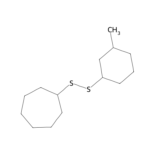 CC1CCCC(SSC2CCCCCC2)C1